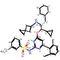 Cc1cccc(C)c1-c1cc(OC(C2CC2)[C@@H](CC2CCCCC2)NC2CC3(CC3)C2)nc(NS(=O)(=O)c2cccc(C(=O)O)c2)n1